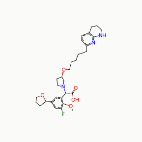 COc1c(F)cc([C@H]2CCCO2)cc1C(C(=O)O)N1CC[C@@H](OCCCCCc2ccc3c(n2)NCCC3)C1